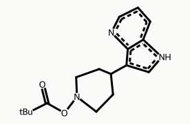 CC(C)(C)C(=O)ON1CCC(c2c[nH]c3cccnc23)CC1